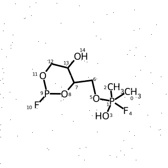 CP(C)(O)(F)OCC1OP(F)OCC1O